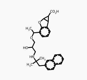 CC(OCC(O)CNC(C)(C)Cc1ccc2ccccc2c1)c1cccc2c1OC1C(C(=O)O)C21